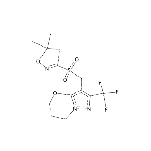 CC1(C)CC(S(=O)(=O)Cc2c(C(F)(F)F)nn3c2OCCC3)=NO1